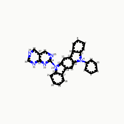 c1ccc(-n2c3ccccc3c3cc4c(cc32)c2ccccc2n4-c2ncc3cncnc3n2)cc1